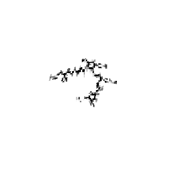 CO[C@H](C=C[C@@H]1[C@@H](CC=CCCCC(O)CO)[C@@H](O)C[C@H]1O)CCc1cc(Cl)c(C)s1